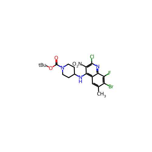 Cc1cc2c(NC3CCN(C(=O)OC(C)(C)C)CC3)c([N+](=O)[O-])c(Cl)nc2c(F)c1Br